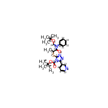 CC(Sc1nnc(-c2cccnc2)n1C(=O)OC(C)(C)C)C(=O)N(COC(C)(C)C)c1ccccc1